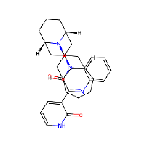 O=c1[nH]cccc1-c1nc2ccccc2n([C@@H]2C[C@H]3CCC[C@@H](C2)N3[C@@H]2C[C@@H]3CCCC[C@@H](C3)C2)c1=O